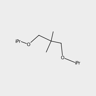 [CH2]C(C)OCC(C)(C)COC([CH2])C